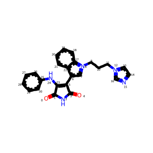 O=C1NC(=O)C(c2cn(CCCn3ccnc3)c3ccccc23)=C1Nc1ccccc1